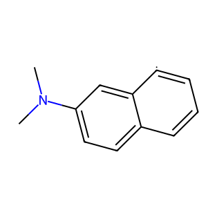 CN(C)c1ccc2ccc[c]c2c1